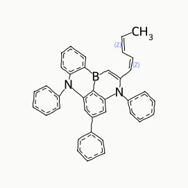 C/C=C\C=C/C1=CB2c3ccccc3N(c3ccccc3)c3cc(-c4ccccc4)cc(c32)N1c1ccccc1